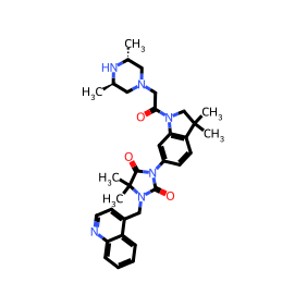 C[C@@H]1CN(CC(=O)N2CC(C)(C)c3ccc(N4C(=O)N(Cc5ccnc6ccccc56)C(C)(C)C4=O)cc32)C[C@@H](C)N1